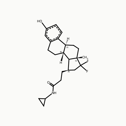 C[C@]12CC[C@@H]3c4ccc(O)cc4CC[C@H]3C1[C@H](CCC(=O)NC1CC1)CC2(F)F